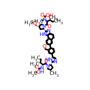 CC[C@@H](C)C(C(=O)N1C[C@@H](COC)C[C@H]1c1nc2ccc3cc4c(cc3c2[nH]1)OCc1cc(-c2cnc([C@@H]3C[C@H](C)CN3C(=O)[C@@H](NC(=O)OC)[C@H](C)CC)[nH]2)ccc1-4)N(C)C(=O)O